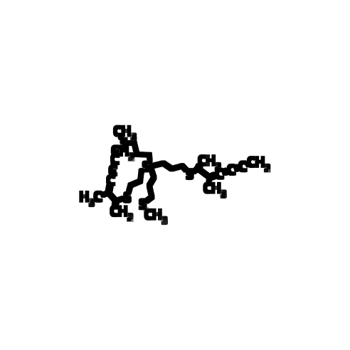 C=C=C=C=C(C)C(=C)SCCC[Si](CCCSC)(CCCSC)CCCSC(=C)C(C)=C=C=C=C